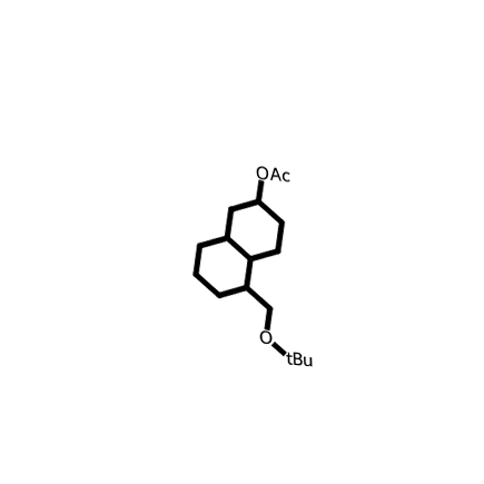 CC(=O)OC1CCC2C(COC(C)(C)C)CCCC2C1